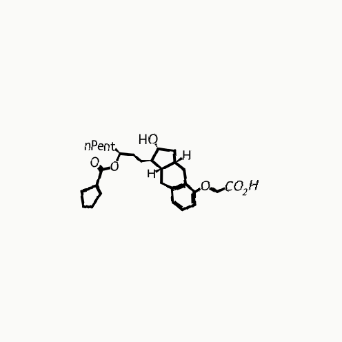 CCCCC[C@@H](CC[C@@H]1[C@H]2Cc3cccc(OCC(=O)O)c3C[C@H]2C[C@H]1O)OC(=O)C1CCCC1